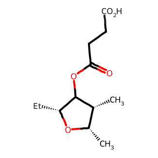 CC[C@H]1O[C@@H](C)[C@@H](C)C1OC(=O)CCC(=O)O